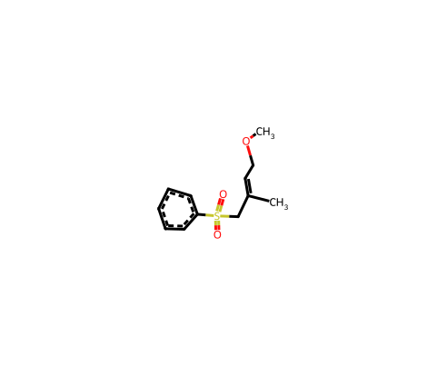 COCC=C(C)CS(=O)(=O)c1ccccc1